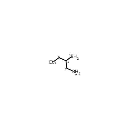 BCC(B)CCC